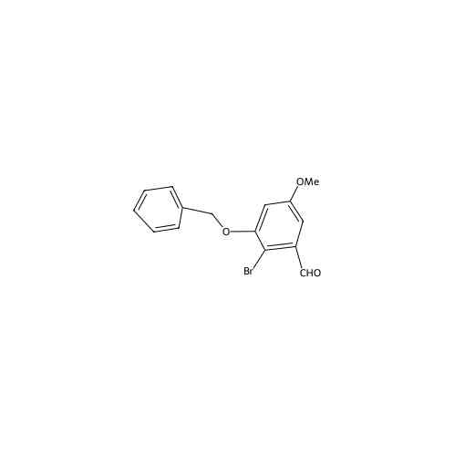 COc1cc(C=O)c(Br)c(OCc2ccccc2)c1